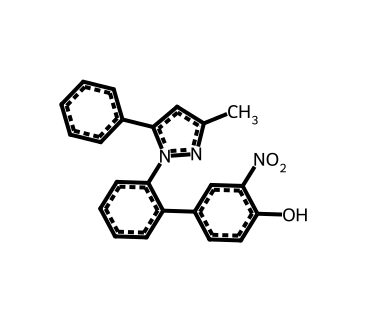 Cc1cc(-c2ccccc2)n(-c2ccccc2-c2ccc(O)c([N+](=O)[O-])c2)n1